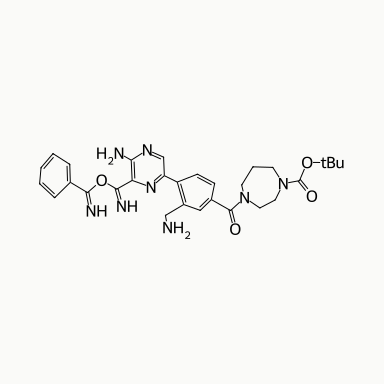 CC(C)(C)OC(=O)N1CCCN(C(=O)c2ccc(-c3cnc(N)c(C(=N)OC(=N)c4ccccc4)n3)c(CN)c2)CC1